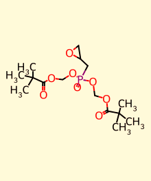 CC(C)(C)C(=O)OCOP(=O)(CC1CO1)OCOC(=O)C(C)(C)C